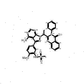 COc1ccc(-c2nn(C(C)c3nc4ccccc4c(=O)n3-c3ccccc3)c3ncnc(N)c23)cc1NS(C)(=O)=O